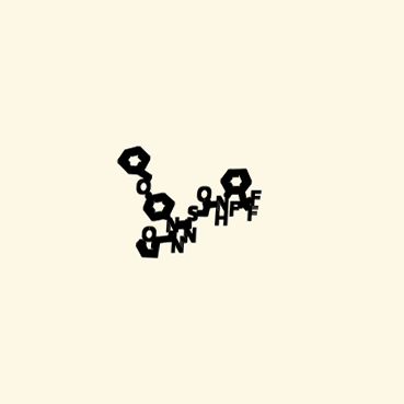 O=C(CSc1nnc(-c2ccco2)n1-c1ccc(OCc2ccccc2)cc1)Nc1ccccc1C(F)(F)F